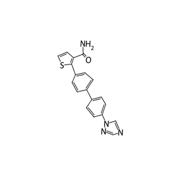 NC(=O)c1ccsc1-c1ccc(-c2ccc(-n3cncn3)cc2)cc1